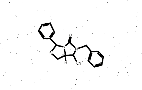 N#CC1[C@@H]2CSC(c3ccccc3)N2C(=O)N1Cc1ccccc1